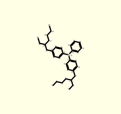 CCCCC(CC)Cc1ccc(N(c2ccccc2)c2ccc(CC(CC)CCCC)cc2)cc1